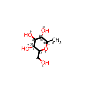 C[C@H]1OC(CO)[C@@H](O)C(O)[C@@H]1O